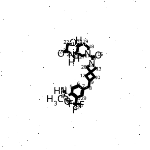 CS(=N)(=O)c1ccc(CC2CC3(C2)CN(C(=O)N2CC[C@@H]4OCC(=O)N[C@@H]4C2)C3)cc1C(F)(F)F